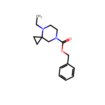 CCN1CCN(C(=O)OCc2ccccc2)CC12CC2